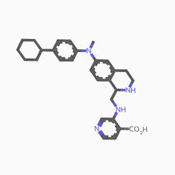 CN(c1ccc(C2CCCCC2)cc1)c1ccc2c(c1)CCNC2CNc1cnccc1C(=O)O